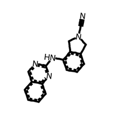 N#CN1Cc2cccc(Nc3ncc4ccccc4n3)c2C1